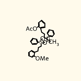 COc1ccccc1CCC[Si](C)(O[Si](C)(CCCc1ccccc1OC(C)=O)c1ccccc1)c1ccccc1